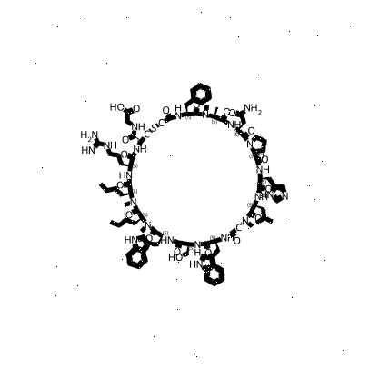 CCCC[C@H]1C(=O)N(C)[C@@H](CCCC)C(=O)N[C@@H](CCCNC(=N)N)C(=O)N[C@H](C(=O)NCC(=O)O)CSCC(=O)N[C@@H](Cc2ccccc2)C(=O)N(C)[C@@H](C)C(=O)N[C@@H](CC(N)=O)C(=O)N2CCC[C@H]2C(=O)N[C@@H](Cc2cnc[nH]2)C(=O)N[C@@H](CC(C)C)C(=O)N(C)CC(=O)N[C@@H](Cc2c[nH]c3ccccc23)C(=O)N[C@@H](CO)C(=O)N[C@@H](Cc2c[nH]c3ccccc23)C(=O)N1C